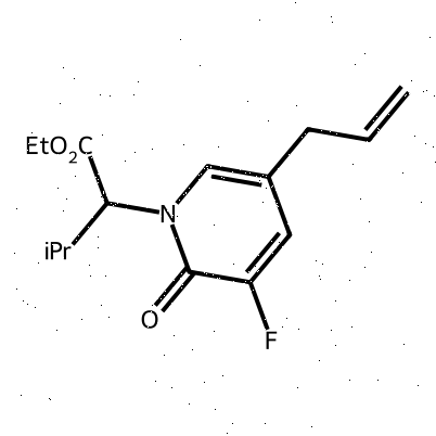 C=CCc1cc(F)c(=O)n(C(C(=O)OCC)C(C)C)c1